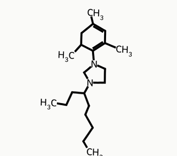 CCCCCC(CCC)N1CCN(C2=C(C)C=C(C)CC2C)C1